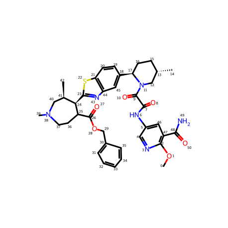 COc1ncc(NC(=O)C(=O)N2C[C@@H](C)CC[C@@H]2c2ccc3sc([C@H]4C(C(=O)OCc5ccccc5)CCN(C)C[C@H]4C)nc3c2)cc1C(N)=O